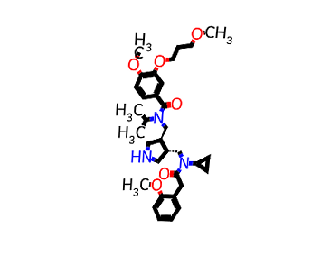 COCCCOc1cc(C(=O)N(C[C@@H]2CNC[C@H]2CN(C(=O)Cc2ccccc2OC)C2CC2)C(C)C)ccc1OC